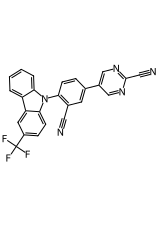 N#Cc1ncc(-c2ccc(-n3c4ccccc4c4cc(C(F)(F)F)ccc43)c(C#N)c2)cn1